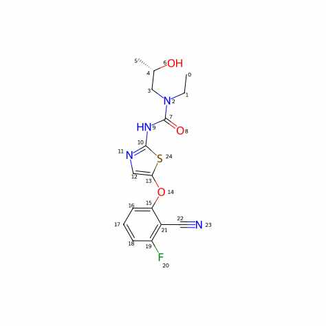 CCN(C[C@H](C)O)C(=O)Nc1ncc(Oc2cccc(F)c2C#N)s1